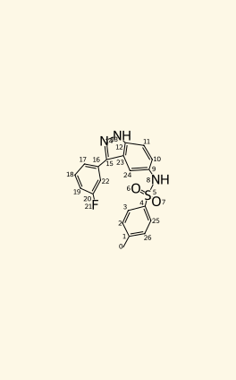 Cc1ccc(S(=O)(=O)Nc2ccc3[nH]nc(-c4cccc(F)c4)c3c2)cc1